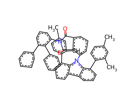 Cc1ccc(-c2cccc3c4cccc(-c5ccc(C)cc5C)c4n(-c4cccc5c4C(=O)N(c4cccc(-c6ccccc6)c4-c4ccccc4)C5=O)c23)c(C)c1